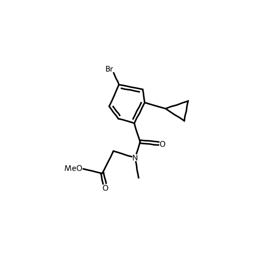 COC(=O)CN(C)C(=O)c1ccc(Br)cc1C1CC1